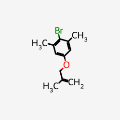 C=C(C)COc1cc(C)c(Br)c(C)c1